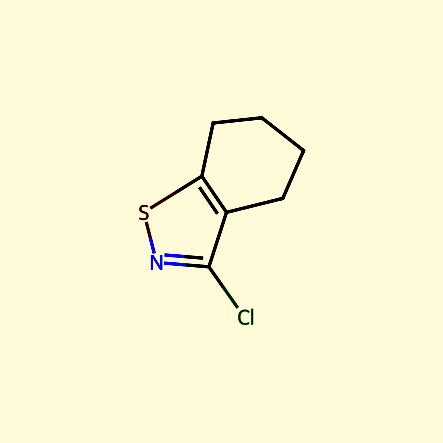 Clc1nsc2c1CCCC2